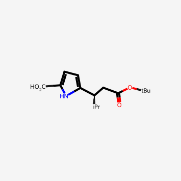 CC(C)[C@H](CC(=O)OC(C)(C)C)c1ccc(C(=O)O)[nH]1